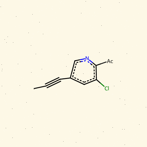 CC#Cc1cnc(C(C)=O)c(Cl)c1